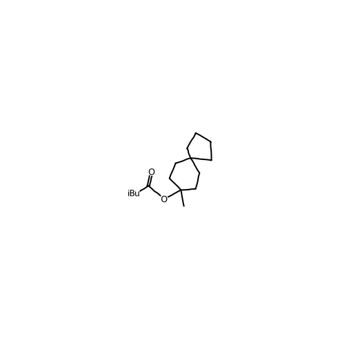 CCC(C)C(=O)OC1(C)CCC2(CCCC2)CC1